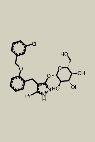 CC(C)c1[nH]nc(O[C@@H]2O[C@H](CO)[C@@H](O)[C@H](O)[C@H]2O)c1Cc1ccccc1OCc1cccc(Cl)c1